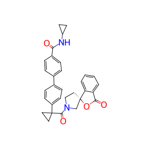 O=C(NC1CC1)c1ccc(-c2ccc(C3(C(=O)N4CC[C@@]5(C4)OC(=O)c4ccccc45)CC3)cc2)cc1